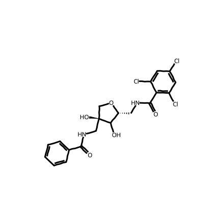 O=C(NC[C@]1(O)CO[C@H](CNC(=O)c2c(Cl)cc(Cl)cc2Cl)C1O)c1ccccc1